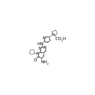 Nc1cc2cnc(Nc3ccc(N4CCCC4C(=O)O)cn3)nc2n(C2CCCC2)c1=O